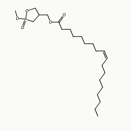 CCCCCCCC/C=C\CCCCCCCC(=O)OCC1COP(=O)(OC)C1